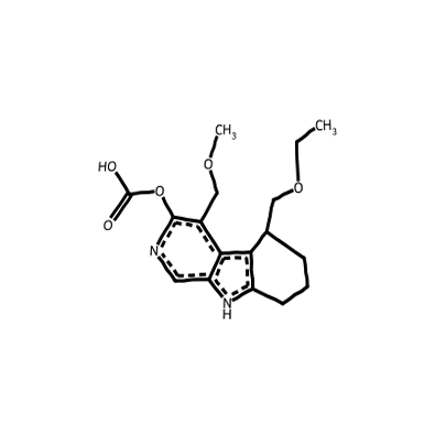 CCOCC1CCCc2[nH]c3cnc(OC(=O)O)c(COC)c3c21